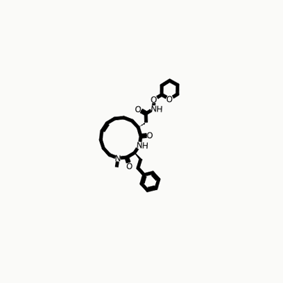 CN1CCCC=CCCC[C@H](CC(=O)NOC2CCCCO2)C(=O)N[C@@H](CCc2ccccc2)C1=O